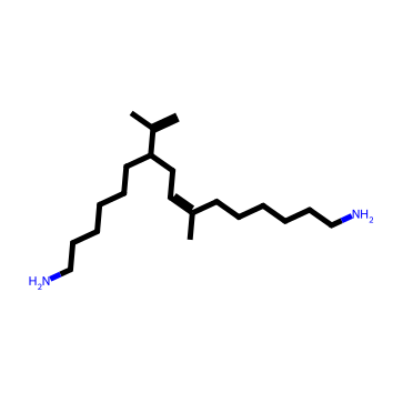 C=C(C)C(CC=C(C)CCCCCCN)CCCCCCN